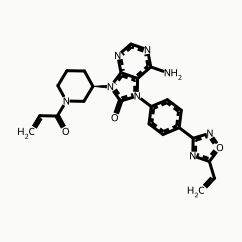 C=CC(=O)N1CCC[C@@H](n2c(=O)n(-c3ccc(-c4noc(C=C)n4)cc3)c3c(N)ncnc32)C1